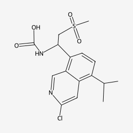 CC(C)c1ccc(C(CS(C)(=O)=O)NC(=O)O)c2cnc(Cl)cc12